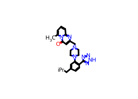 Cc1cccc2nc(CN3CCN(c4cc(CC(C)C)ccc4-c4nn[nH]n4)CC3)cc(=O)n12